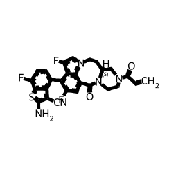 C=CC(=O)N1CCN2C(=O)c3cc(F)c(-c4ccc(F)c5sc(N)c(C#N)c45)c4c(F)cn(c34)CC[C@H]2C1